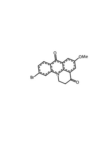 COc1cc2c3c(c1)c(=O)c1ccc(Br)cc1n3CCC2=O